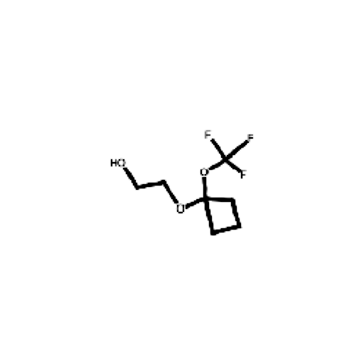 OCCOC1(OC(F)(F)F)CCC1